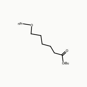 CCCOCCCCCC(=O)OCC(C)C